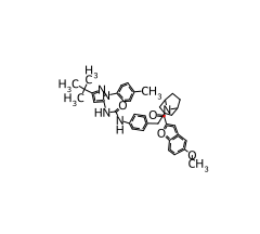 COc1ccc2oc(C(=O)N3C4CCC3CC(Cc3ccc(NC(=O)Nc5cc(C(C)(C)C)nn5-c5ccc(C)cc5)cc3)C4)cc2c1